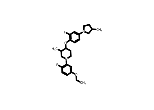 CCOc1ccc(F)c(N2CCC(Oc3ccc(N4CCC(C)C4)cc3F)C(C)C2)c1